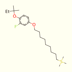 CCC(C)(C)Oc1ccc(OCCCCCCCCCS(C)(C)C)cc1F